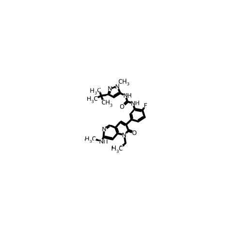 CCn1c(=O)c(-c2ccc(F)c(NC(=O)Nc3cc(C(C)(C)C)nn3C)c2)cc2cnc(NC)cc21